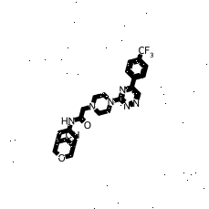 O=C(CN1CCN(c2nncc(-c3ccc(C(F)(F)F)cc3)n2)CC1)NC1CC2COCC(C1)C2O